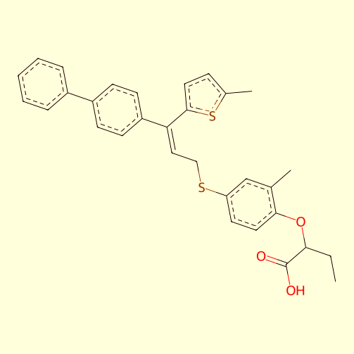 CCC(Oc1ccc(SC/C=C(/c2ccc(-c3ccccc3)cc2)c2ccc(C)s2)cc1C)C(=O)O